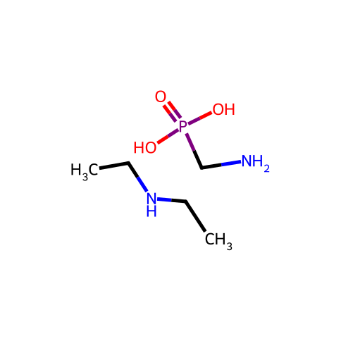 CCNCC.NCP(=O)(O)O